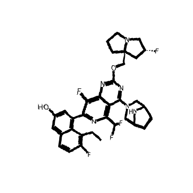 CCc1c(F)ccc2cc(O)cc(-c3nc(C(F)F)c4c(N5CC6CCC(C5)N6)nc(OC[C@@]56CCCN5C[C@H](F)C6)nc4c3F)c12